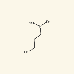 CCN(CCCO)C(C)(C)C